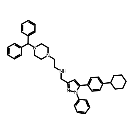 c1ccc(C(c2ccccc2)N2CCN(CCNCc3cc(-c4ccc(C5CCCCC5)cc4)n(-c4ccccc4)n3)CC2)cc1